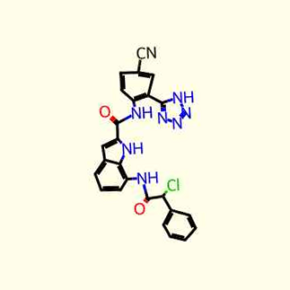 N#Cc1ccc(NC(=O)c2cc3cccc(NC(=O)C(Cl)c4ccccc4)c3[nH]2)c(-c2nnn[nH]2)c1